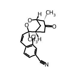 C[C@@H]1C(=O)C[C@H]2C[C@@H]1OO[C@@]2(C)/C=C\c1ccc(C#N)cc1Cl